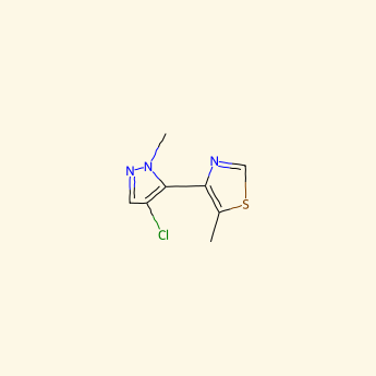 Cc1scnc1-c1c(Cl)cnn1C